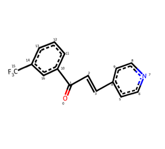 O=C(C=Cc1ccncc1)c1cccc(C(F)(F)F)c1